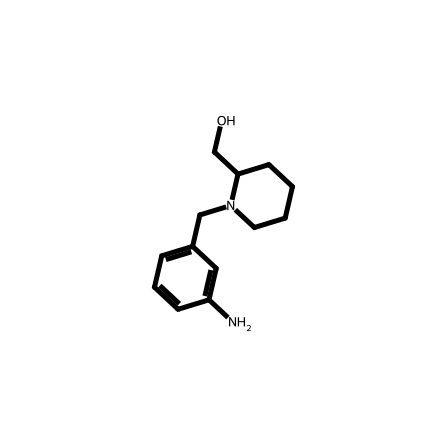 Nc1cccc(CN2CCCCC2CO)c1